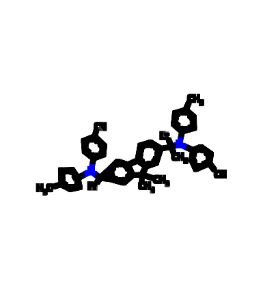 CCC(C)(c1ccc2c(c1)C(C)(C)c1cc3c(cc1-2)C3(CC)N(c1ccc(C)cc1)c1ccc(C#N)cc1)N(c1ccc(C)cc1)c1ccc(C#N)cc1